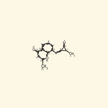 [CH2]C1C(=O)C1=Cc1cccc2c(=O)cc(C)oc12